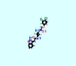 O=C(CC1NOc2ccccc21)NC12CC(NC(O)COc3ccc(Cl)c(F)c3)(C1)C2